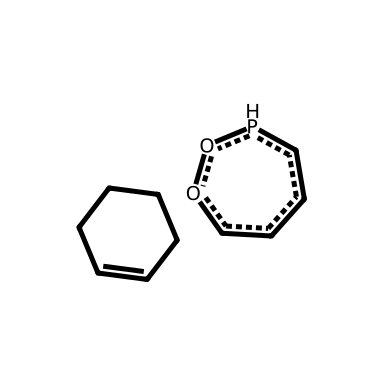 C1=CCCCC1.c1cc[pH]ooc1